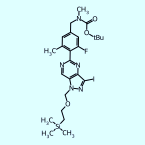 Cc1cc(CN(C)C(=O)OC(C)(C)C)cc(F)c1-c1ncc2c(n1)c(I)nn2COCC[Si](C)(C)C